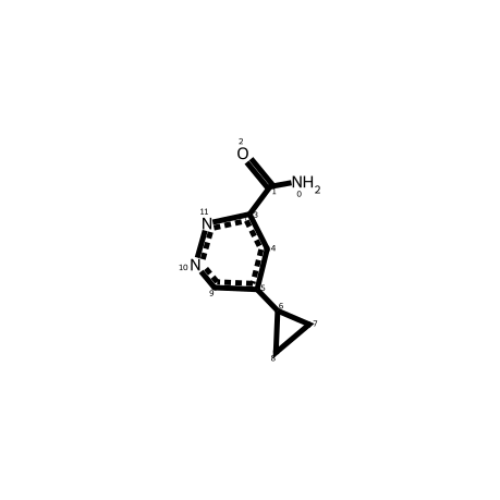 NC(=O)c1cc(C2CC2)cnn1